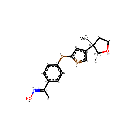 CO[C@]1(c2csc(Sc3ccc(/C(C)=N/O)cc3)c2)CCO[C@@H]1C